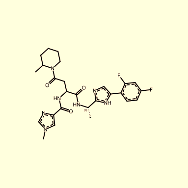 CC1CCCCN1C(=O)CC(NC(=O)c1cn(C)cn1)C(=O)N[C@@H](C)c1ncc(-c2ccc(F)cc2F)[nH]1